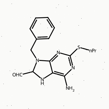 CCCSc1nc(N)c2c(n1)N(Cc1ccccc1)C(C=O)N2